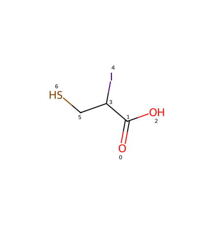 O=C(O)C(I)CS